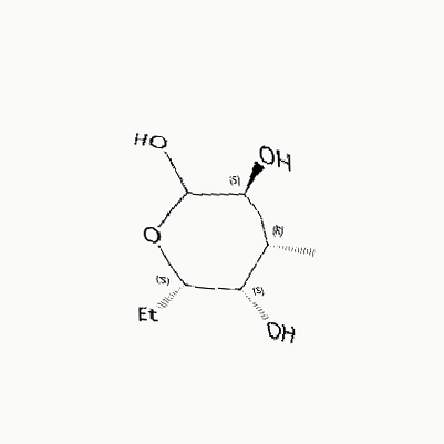 CC[C@@H]1OC(O)[C@@H](O)[C@H](C)[C@@H]1O